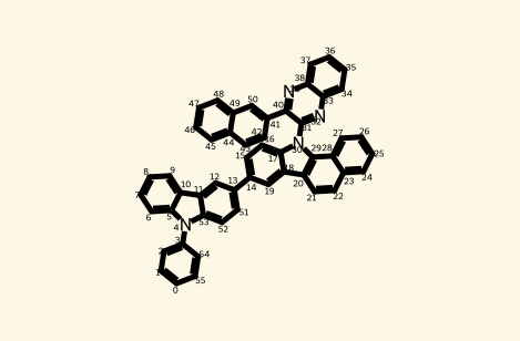 c1ccc(-n2c3ccccc3c3cc(-c4ccc5c(c4)c4ccc6ccccc6c4n5-c4nc5ccccc5nc4-c4ccc5ccccc5c4)ccc32)cc1